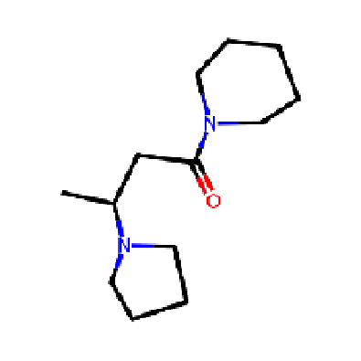 CC(CC(=O)N1CCCCC1)N1CCCC1